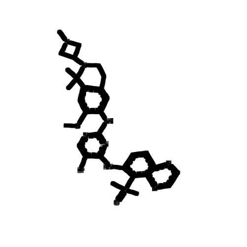 COc1cc2c(cc1Nc1ncc(Br)c(Nc3ccc4nccnc4c3P(C)(C)=O)n1)CCN(C1CN(C)C1)C2(C)C